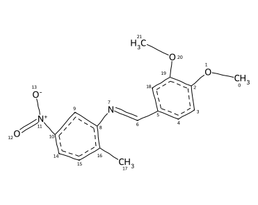 COc1ccc(/C=N/c2cc([N+](=O)[O-])ccc2C)cc1OC